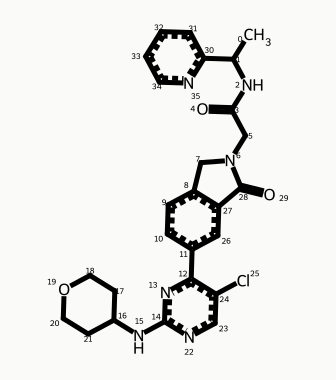 CC(NC(=O)CN1Cc2ccc(-c3nc(NC4CCOCC4)ncc3Cl)cc2C1=O)c1ccccn1